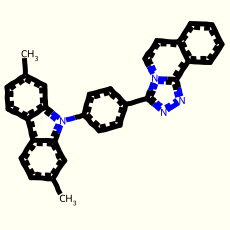 Cc1ccc2c3ccc(C)cc3n(-c3ccc(-c4nnc5c6ccccc6ccn45)cc3)c2c1